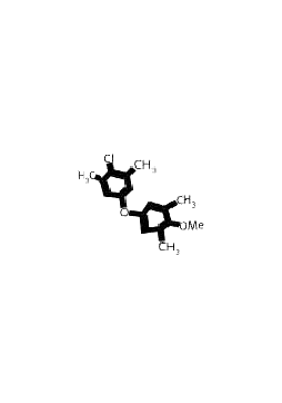 COc1c(C)cc(Oc2cc(C)c(Cl)c(C)c2)cc1C